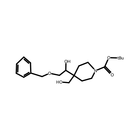 CC(C)(C)OC(=O)N1CCC(CO)(C(O)COCc2ccccc2)CC1